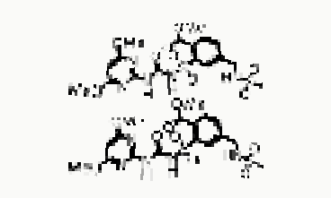 COC(=O)c1ccc(CNS(C)(=O)=O)cc1S(=O)(=O)NC(=O)Nc1nc(OC)cc(OC)n1.COC(=O)c1ccc(CNS(C)(=O)=O)cc1S(=O)(=O)NC(=O)Nc1nc(OC)cc(OC)n1